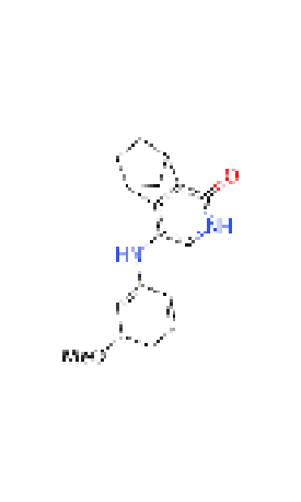 COC1C=C(Nc2c[nH]c(=O)c3c2C2CCC3C2)C=CC1